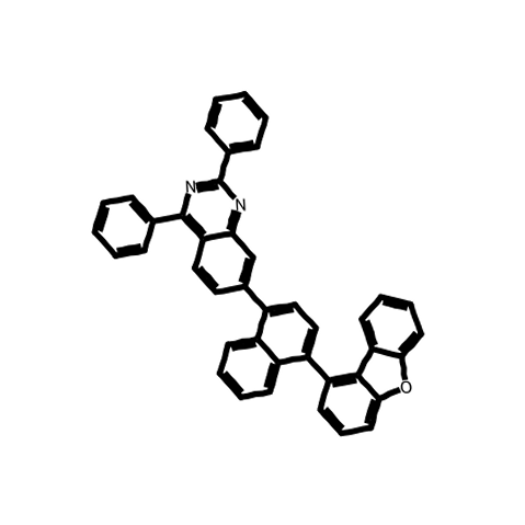 c1ccc(-c2nc(-c3ccccc3)c3ccc(-c4ccc(-c5cccc6oc7ccccc7c56)c5ccccc45)cc3n2)cc1